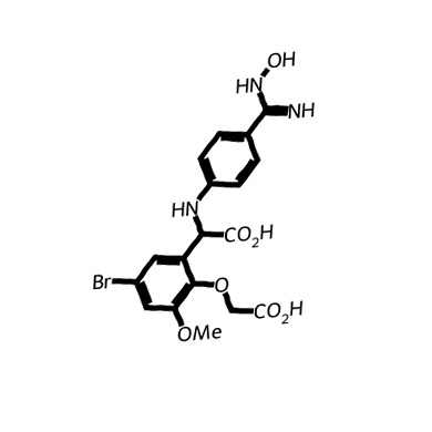 COc1cc(Br)cc(C(Nc2ccc(C(=N)NO)cc2)C(=O)O)c1OCC(=O)O